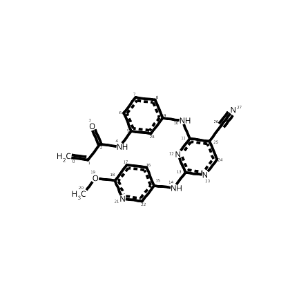 C=CC(=O)Nc1cccc(Nc2nc(Nc3ccc(OC)nc3)ncc2C#N)c1